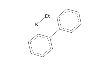 C[CH2][K].c1ccc(-c2ccccc2)cc1